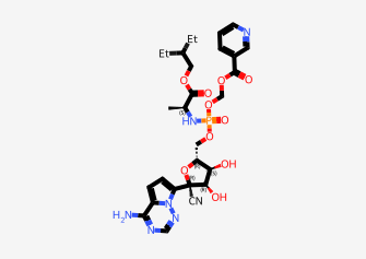 CCC(CC)COC(=O)[C@H](C)NP(=O)(OCOC(=O)c1cccnc1)OC[C@H]1O[C@@](C#N)(c2ccc3c(N)ncnn23)[C@H](O)[C@@H]1O